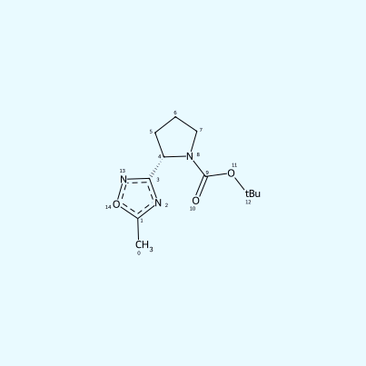 Cc1nc([C@@H]2CCCN2C(=O)OC(C)(C)C)no1